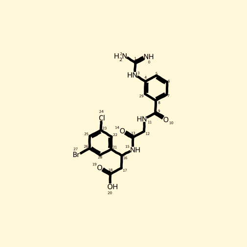 N=C(N)Nc1cccc(C(=O)NCC(=O)NC(CC(=O)O)c2cc(Cl)cc(Br)c2)c1